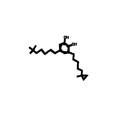 CC(C)(C)CCCCCc1cc(O)c(O)c(CCCCCC2(C)CC2)c1